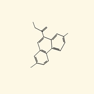 O=C(CBr)c1cc2cc(Cl)ccc2c2ccc(Cl)cc12